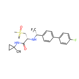 C=S(C)(=O)C[C@H](N[C@@H](c1ccc(-c2ccc(F)cc2)cc1)C(F)(F)F)C(=O)NC1(C#N)CC1